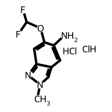 Cl.Cl.Cn1cc2cc(N)c(OC(F)F)cc2n1